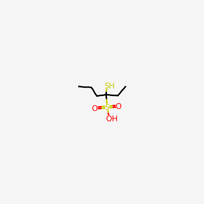 CCCC(S)(CC)S(=O)(=O)O